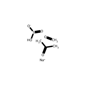 C=O.CC(C)=O.O=S([O-])O.[Na+]